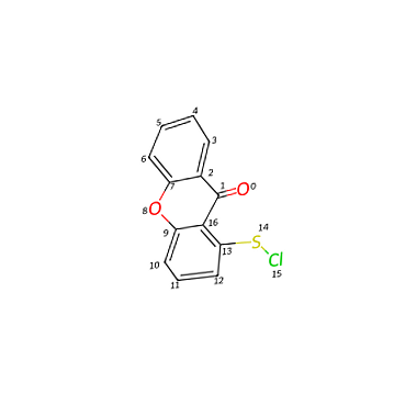 O=c1c2ccccc2oc2cccc(SCl)c12